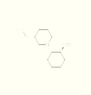 CN[C@H]1CCCC[C@@H]1N1CCC[C@@H](CO)C1